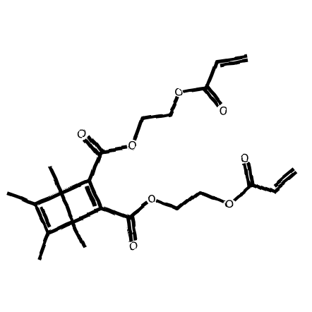 C=CC(=O)OCCOC(=O)C1=C(C(=O)OCCOC(=O)C=C)C2(C)C(C)=C(C)C12C